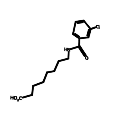 O=C(O)CCCCCCCNC(=O)c1cccc(Cl)c1